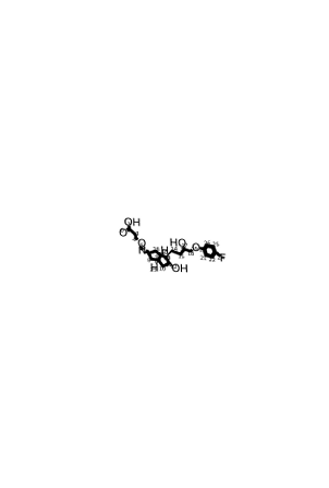 O=C(O)CCON=C1C[C@@H]2C[C@@H](O)[C@H](CCC(O)COc3ccc(F)cc3)[C@@H]2C1